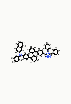 c1ccc(-c2nnc(-c3ccc(-c4ccccc4-c4ccccc4-c4ccc(N(c5ccccc5)c5ccc6ccccc6c5)cc4)cc3)n2-c2ccccc2)cc1